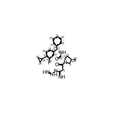 N=NNC(=N)CC(=O)N1C[C@H](F)C[C@H]1C(=O)N[C@@H](c1ccccc1)c1ccc(C2CC2)c(F)c1